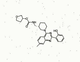 Cc1ccc2c(N3CCC[C@@H](CNC(=O)OC4CCOC4)C3)nc(-c3ccccc3O)nc2c1